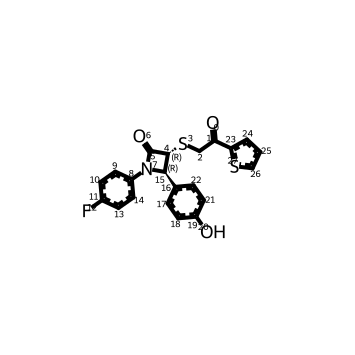 O=C(CS[C@H]1C(=O)N(c2ccc(F)cc2)[C@@H]1c1ccc(O)cc1)c1cccs1